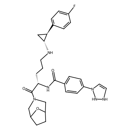 O=C(N[C@@H](CCCN[C@@H]1C[C@H]1c1ccc(F)cc1)C(=O)N1CC2CCC(C1)O2)c1ccc(N2C=CNN2)cc1